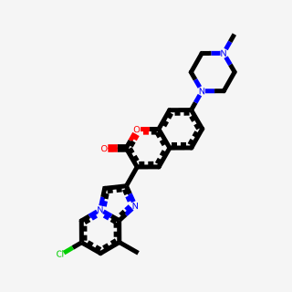 Cc1cc(Cl)cn2cc(-c3cc4ccc(N5CCN(C)CC5)cc4oc3=O)nc12